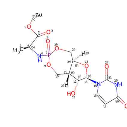 CCCCOC(=O)[C@H](C)NP1(=O)OC[C@H]2[C@@H](O)[C@H](n3ccc(=O)[nH]c3=O)O[C@@H]2CO1